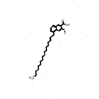 CCCCCCCCCCCCCCCCCCc1cccc2cc(C(=O)O)c(I=O)cc12